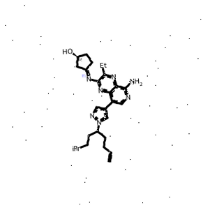 C=CCCC(CCC(C)C)n1cc(-c2cnc(N)c3nc(CC)c(/N=C4\CC[C@H](O)C4)nc23)cn1